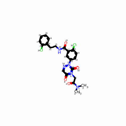 CN(C)C(=O)Cn1c(=O)cnn(-c2ccc(Cl)c(C(=O)NCCc3ccccc3Cl)c2)c1=O